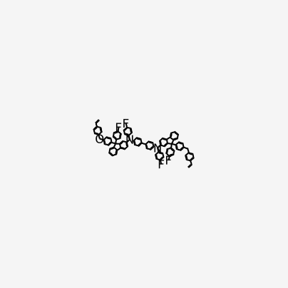 C=Cc1ccc(Cc2ccc(C3(c4ccc(F)cc4)c4ccccc4-c4ccc(N(c5ccc(F)cc5)c5ccc(-c6ccc(N(c7ccc(F)cc7)c7ccc8c(c7)C(c7ccc(F)cc7)(c7ccc(Oc9ccc(C=C)cc9)cc7)c7ccccc7-8)cc6)cc5)cc43)cc2)cc1